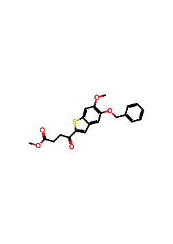 COC(=O)CCC(=O)c1cc2cc(OCc3ccccc3)c(OC)cc2s1